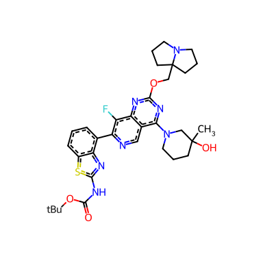 CC1(O)CCCN(c2nc(OCC34CCCN3CCC4)nc3c(F)c(-c4cccc5sc(NC(=O)OC(C)(C)C)nc45)ncc23)C1